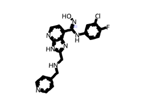 O/N=C(/Nc1ccc(F)c(Cl)c1)c1ccnc2[nH]c(CNCc3ccncc3)nc12